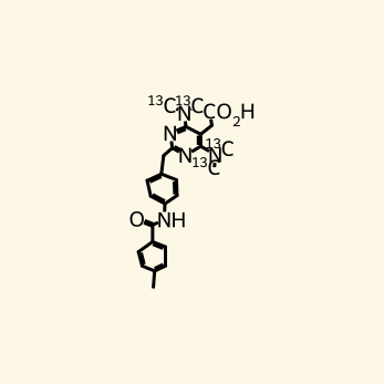 Cc1ccc(C(=O)Nc2ccc(Cc3nc(N([13CH3])[13CH3])c(CC(=O)O)c(N([13CH3])[13CH3])n3)cc2)cc1